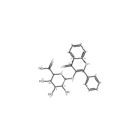 O=C(O)C1OC(Oc2c(-c3ccccc3)oc3ccccc3c2=O)C(O)C(O)C1O